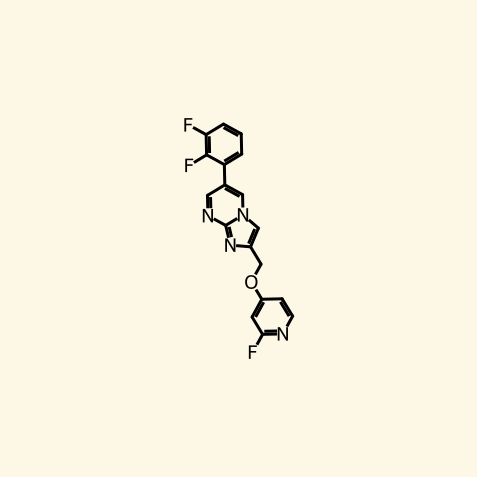 Fc1cc(OCc2cn3cc(-c4cccc(F)c4F)cnc3n2)ccn1